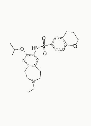 CCN1CCc2cc(NS(=O)(=O)c3ccc4c(c3)CCCO4)c(OC(C)C)nc2CC1